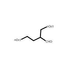 CCCCCCCCCCC([C]=O)CCCCCCCCC